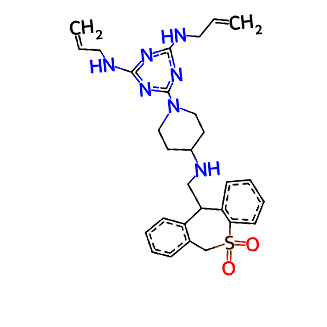 C=CCNc1nc(NCC=C)nc(N2CCC(NCC3c4ccccc4CS(=O)(=O)c4ccccc43)CC2)n1